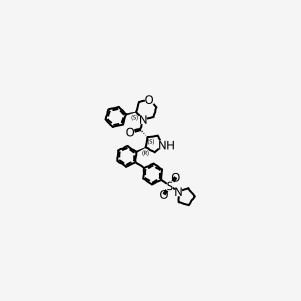 O=C([C@@H]1CNC[C@H]1c1ccccc1-c1ccc(S(=O)(=O)N2CCCC2)cc1)N1CCOC[C@@H]1c1ccccc1